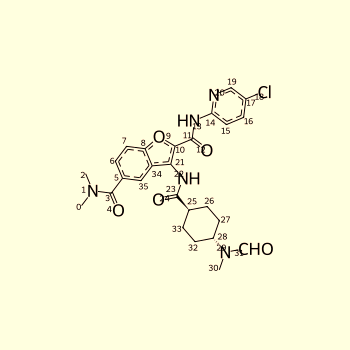 CN(C)C(=O)c1ccc2oc(C(=O)Nc3ccc(Cl)cn3)c(NC(=O)[C@H]3CC[C@H](N(C)C=O)CC3)c2c1